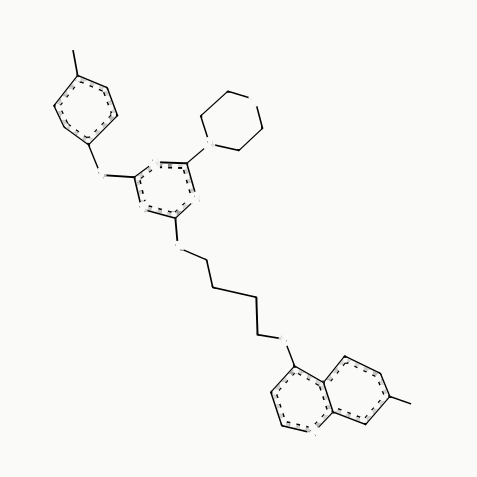 O=Cc1ccc(Nc2nc(NCCCCNc3ccnc4cc(Cl)ccc34)nc(N3CCOCC3)n2)cc1